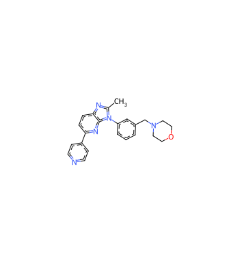 Cc1nc2ccc(-c3ccncc3)nc2n1-c1cccc(CN2CCOCC2)c1